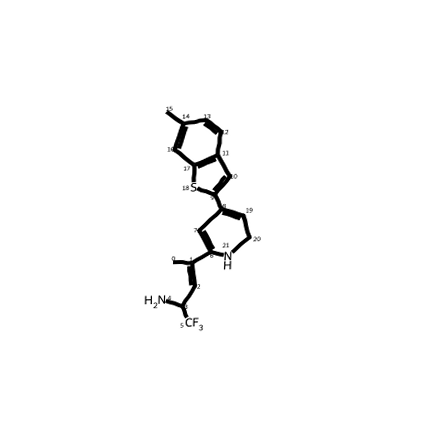 C/C(=C\C(N)C(F)(F)F)C1=CC(c2cc3ccc(C)cc3s2)=CCN1